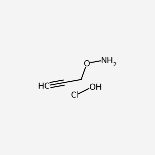 C#CCON.OCl